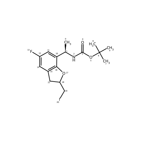 C[C@@H](NC(=O)OC(C)(C)C)c1cc(F)cc2c1OC(CI)C2